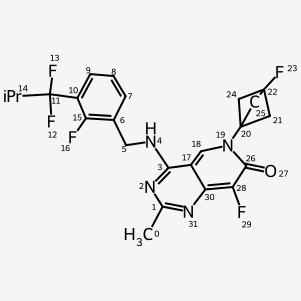 Cc1nc(NCc2cccc(C(F)(F)C(C)C)c2F)c2cn(C34CC(F)(C3)C4)c(=O)c(F)c2n1